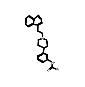 CC(C)C(=O)Nc1cccc(C2CCN(CCc3cccc4ccccc34)CC2)c1